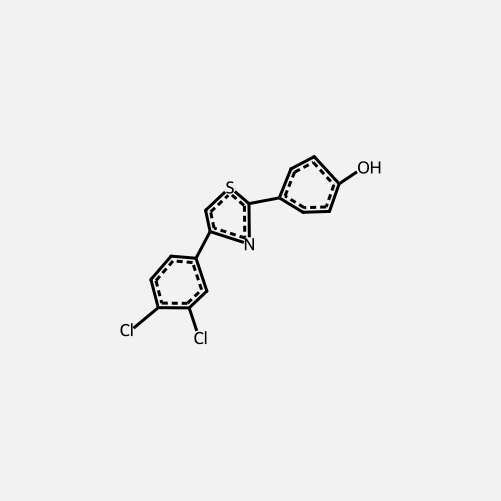 Oc1ccc(-c2nc(-c3ccc(Cl)c(Cl)c3)cs2)cc1